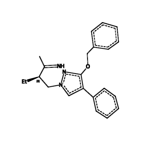 CC[C@H](Cn1cc(-c2ccccc2)c(OCc2ccccc2)n1)C(C)=N